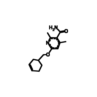 Cc1cc(OCC2CC=CCC2)nc(C)c1C(N)=O